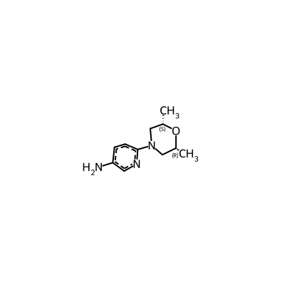 C[C@@H]1CN(c2ccc(N)cn2)C[C@H](C)O1